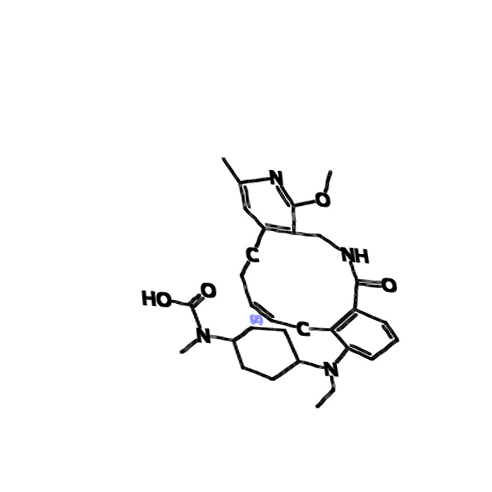 CCN(c1cccc2c1C/C=C\CCc1cc(C)nc(OC)c1CNC2=O)C1CCC(N(C)C(=O)O)CC1